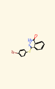 O=c1[nH]nc(Sc2ccc(Br)cc2)c2ccccc12